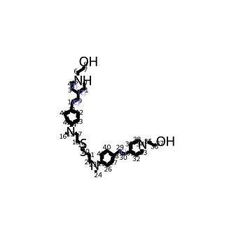 C/C=C(\C=C/NCCO)/C=C/c1ccc(N(C)CCSSCCN(C)c2ccc(/C=C/c3cc[n+](CCO)cc3)cc2)cc1